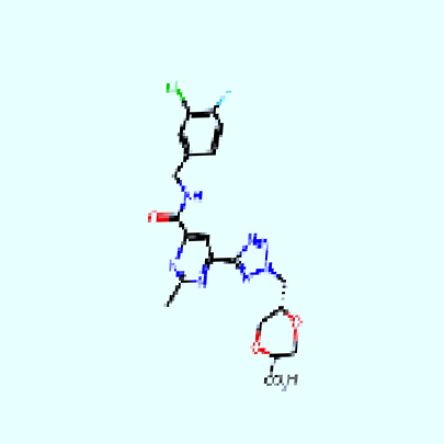 Cc1nc(C(=O)NCc2ccc(F)c(Cl)c2)cc(-c2nnn(C[C@H]3CO[C@H](C(=O)O)CO3)n2)n1